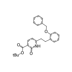 CC(C)(C)OC(=O)c1ccc(CCc2ccccc2OCc2ccccc2)[nH]c1=O